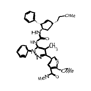 CNC(=O)c1cc(-c2nn(-c3ccccc3)c(NC(=O)N[C@@H]3C[C@@H](CCOC)C[C@H]3c3ccccc3)c2C)cnc1OC